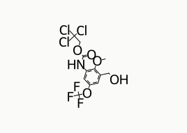 COc1c(CO)cc(OC(F)(F)F)cc1NC(=O)OCC(Cl)(Cl)Cl